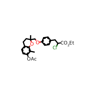 CCOC(=O)C(Cl)Cc1ccc(OCC2(C)CCc3ccc(OC(C)=O)c(C)c3O2)cc1